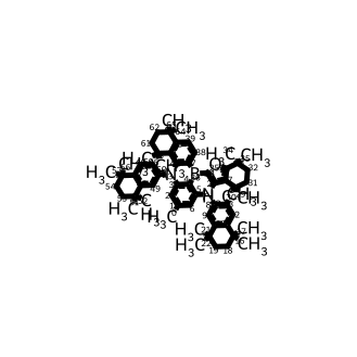 Cc1cc2c3c(c1)N(c1cc4c(cc1C)C(C)(C)CCC4(C)C)c1c(oc4c1C(C)(C)CCC4(C)C)B3c1ccc3c(c1N2c1ccc2c(c1)C(C)(C)CCC2(C)C)C(C)(C)CCC3(C)C